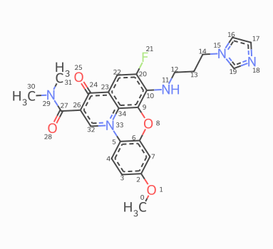 COc1ccc2c(c1)Oc1c(NCCCn3ccnc3)c(F)cc3c(=O)c(C(=O)N(C)C)cn-2c13